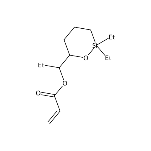 C=CC(=O)OC(CC)C1CCC[Si](CC)(CC)O1